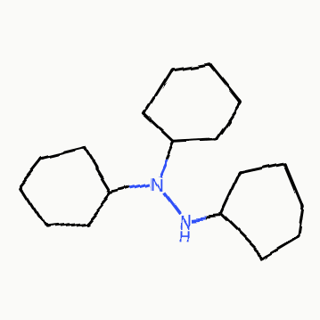 C1CCC(NN(C2CCCCC2)C2CCCCC2)CC1